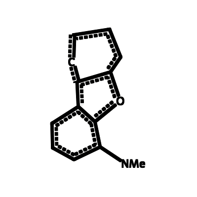 CNc1cccc2c1oc1ccccc12